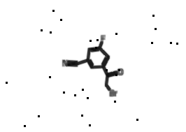 N#Cc1cc(F)cc(C(=O)CBr)c1